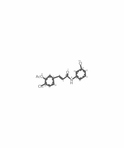 CC(=O)Oc1cc(C=CC(=O)Nc2cccc(Cl)c2)ccc1Cl